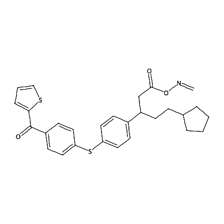 C=NOC(=O)CC(CCC1CCCC1)c1ccc(Sc2ccc(C(=O)c3cccs3)cc2)cc1